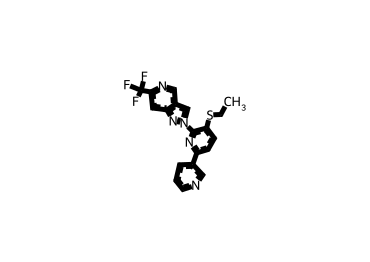 CCSc1ccc(-c2cccnc2)nc1-n1cc2cnc(C(F)(F)F)cc2n1